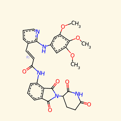 COc1cc(Nc2ncccc2/C=C/C(=O)Nc2cccc3c2C(=O)N(C2CCC(=O)NC2=O)C3=O)cc(OC)c1OC